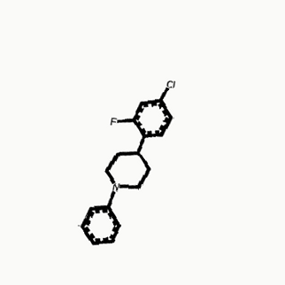 Fc1cc(Cl)ccc1C1CCN(c2c[c]ccc2)CC1